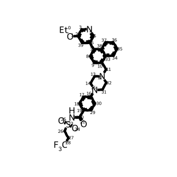 CCOc1cncc(-c2ccc(CN3CCN(c4ccc(C(=O)NS(=O)(=O)CCC(F)(F)F)cc4)CC3)c3ccccc23)c1